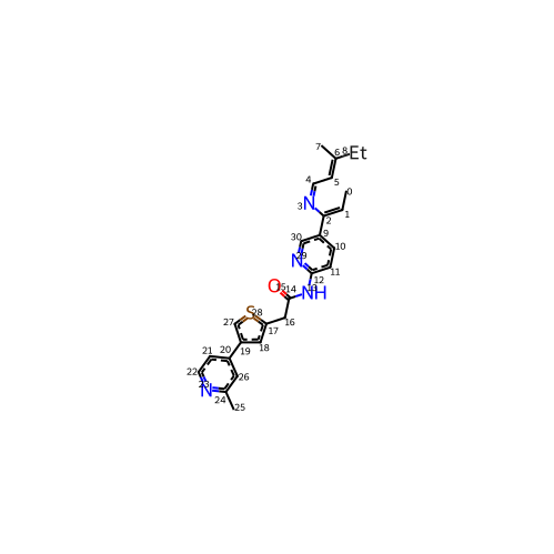 C\C=C(/N=C\C=C(/C)CC)c1ccc(NC(=O)Cc2cc(-c3ccnc(C)c3)cs2)nc1